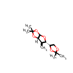 C=C1[C@H]2OC(C)(C)OC2O[C@@H]1C1COC(C)(C)O1